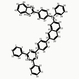 c1ccc(-c2nc(-c3ccccc3)nc(-c3ccc(-c4ccc5ccc(N(c6ccccc6)c6ccc(-c7nc8ccccc8s7)cc6)cc5c4)cc3)n2)cc1